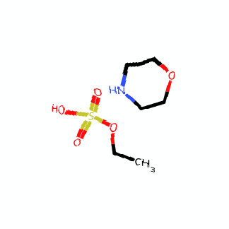 C1COCCN1.CCOS(=O)(=O)O